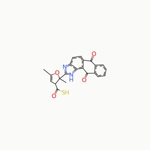 CC1=CC(C(=O)S)C(C)(c2nc3ccc4c(c3[nH]2)C(=O)c2ccccc2C4=O)O1